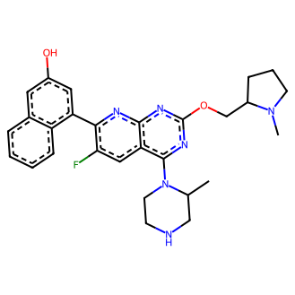 CC1CNCCN1c1nc(OCC2CCCN2C)nc2nc(-c3cc(O)cc4ccccc34)c(F)cc12